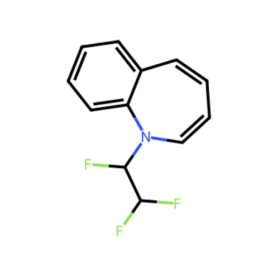 FC(F)C(F)N1C=CC=Cc2ccccc21